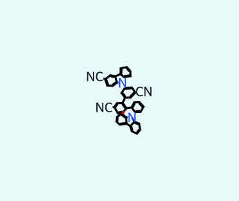 N#Cc1cc(-c2cc(C#N)ccc2-c2ccccc2-n2c3ccccc3c3ccccc32)cc(-n2c3ccccc3c3cc(C#N)ccc32)c1